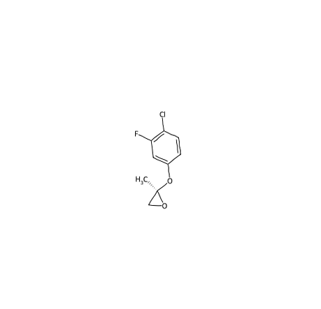 C[C@@]1(Oc2ccc(Cl)c(F)c2)CO1